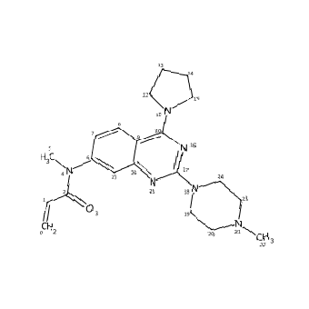 C=CC(=O)N(C)c1ccc2c(N3CCCC3)nc(N3CCN(C)CC3)nc2c1